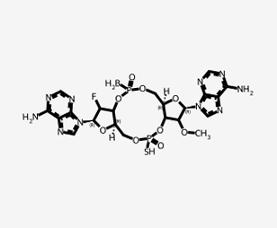 BP1(=O)OC[C@H]2O[C@@H](n3cnc4c(N)ncnc43)C(OC)C2OP(=O)(S)OC[C@H]2O[C@@H](n3cnc4c(N)ncnc43)C(F)C2O1